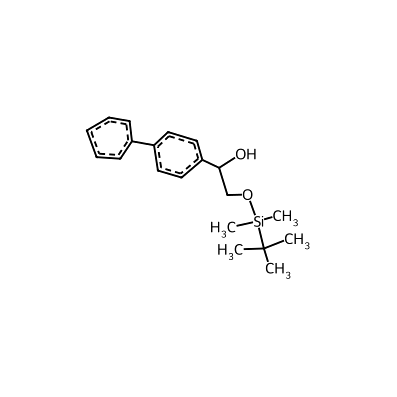 CC(C)(C)[Si](C)(C)OCC(O)c1ccc(-c2ccccc2)cc1